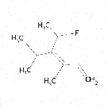 C=C/C(C)=C(/C(C)C)C(C)F